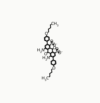 CCCCCOc1ccc(-c2cc([N+](=O)[O-])c3c(c2N)C(=O)c2c(N)cc(-c4ccc(OCCCCC)cc4)c([N+](=O)[O-])c2C3=O)cc1